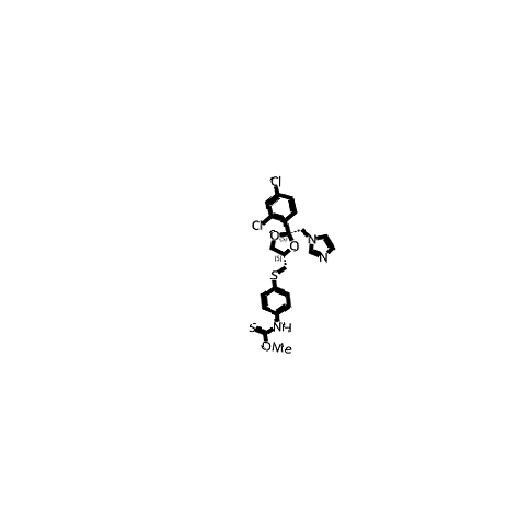 COC(=S)Nc1ccc(SC[C@@H]2CO[C@@](Cn3ccnc3)(c3ccc(Cl)cc3Cl)O2)cc1